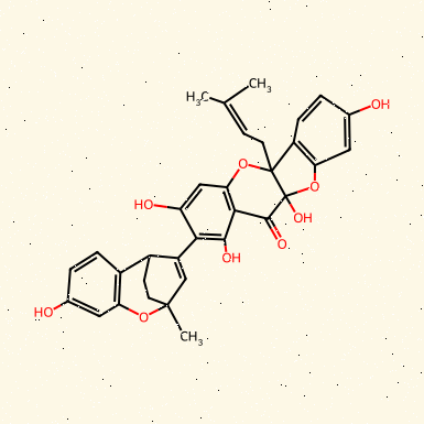 CC(C)=CCC12Oc3cc(O)c(C4=CC5(C)CCC4c4ccc(O)cc4O5)c(O)c3C(=O)C1(O)Oc1cc(O)ccc12